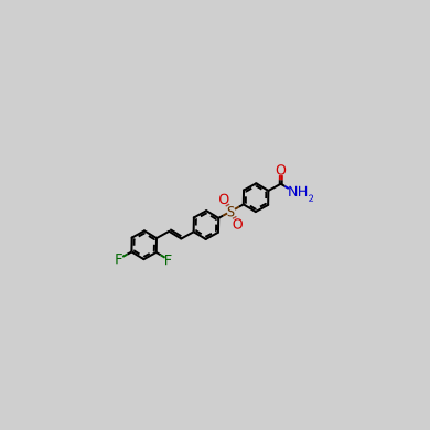 NC(=O)c1ccc(S(=O)(=O)c2ccc(C=Cc3ccc(F)cc3F)cc2)cc1